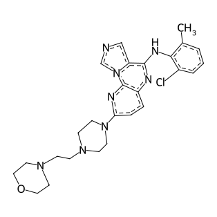 Cc1cccc(Cl)c1Nc1nc2ccc(N3CCN(CCN4CCOCC4)CC3)nc2n2cncc12